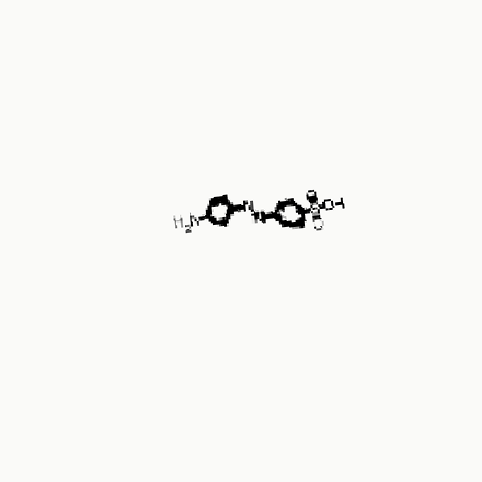 Nc1ccc(N=Nc2ccc(S(=O)(=O)O)cc2)cc1